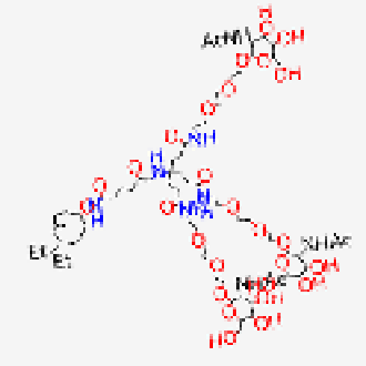 CCC(CC)C1CCCC(ONC(=O)CCCC(=O)CNC(CCC(=O)NCCOCCOCCOC2OC(CO)C(O)C(O)C2NC(C)=O)(CCC(=O)NCCOCCOCCOC2OC(CO)C(O)C(O)C2NC(C)=O)CCC(=O)NCCOCCOCCOC2OC(CO)C(O)C(O)C2NC(C)=O)CCC1